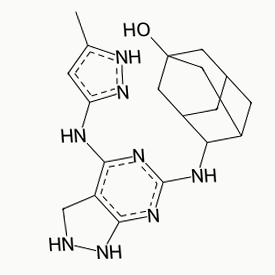 Cc1cc(Nc2nc(NC3C4CC5CC3CC(O)(C5)C4)nc3c2CNN3)n[nH]1